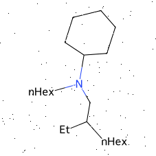 CCCCCCC(CC)CN(CCCCCC)C1CCCCC1